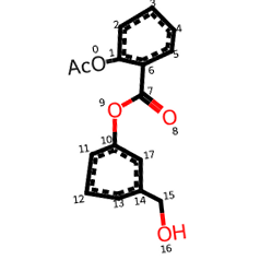 CC(=O)Oc1ccccc1C(=O)Oc1cccc(CO)c1